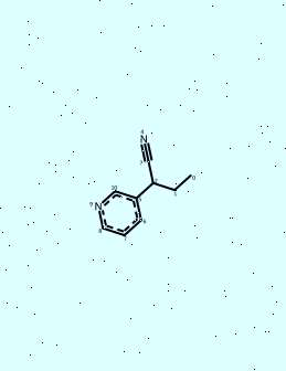 CCC(C#N)c1cccnc1